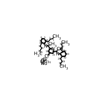 CCCCc1cccc(CCCC)c1N=C(C)c1cc(Cl)cc(C(C)=Nc2c(CCCC)cccc2CCCC)n1.[Cl-].[Cl-].[Cl-].[Nd+3]